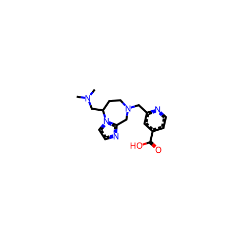 CN(C)CC1CCN(Cc2cc(C(=O)O)ccn2)Cc2nccn21